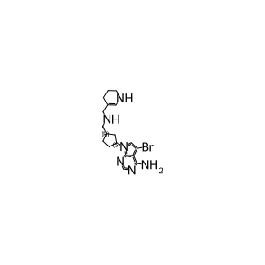 Nc1ncnc2c1c(Br)cn2[C@H]1CC[C@@H](CNCC2=CNCCC2)C1